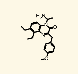 CCc1ccc2c(nc(Cc3ccc(OC)cc3)c(=O)n2C(C)N)c1CC